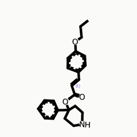 CCCOc1ccc(/C=C/C(=O)OC2(c3ccccc3)CCNCC2)cc1